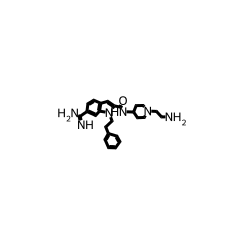 N=C(N)c1ccc2cc(C(=O)NC3CCN(CCN)CC3)n(CCc3ccccc3)c2c1